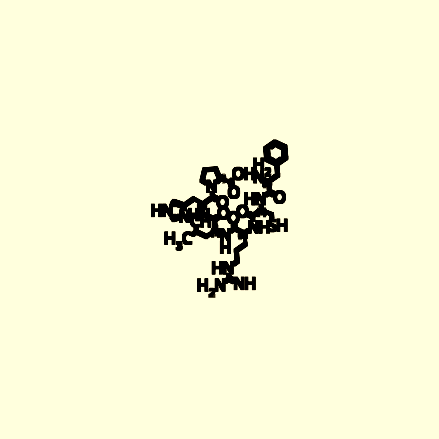 CC(C)C[C@H](NC(=O)[C@H](CCCNC(=N)N)NC(=O)[C@H](CS)NC(=O)[C@@H](N)Cc1ccccc1)C(=O)N[C@@H](Cc1c[nH]cn1)C(=O)N1CCC[C@H]1C(=O)O